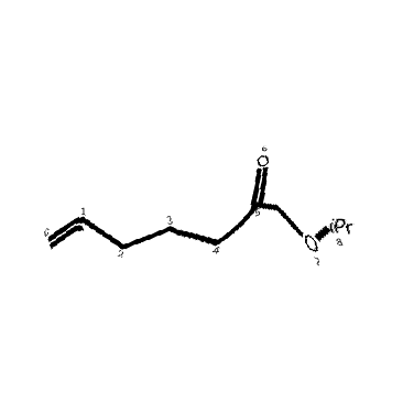 C=CCCCC(=O)OC(C)C